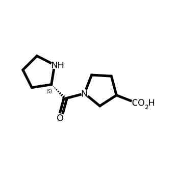 O=C(O)C1CCN(C(=O)[C@@H]2CCCN2)C1